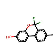 Cc1ccc2c(c1)C(F)(F)Oc1cc(O)ccc1-2